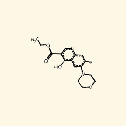 CCOC(=O)c1cnc2cc(F)c(N3CCOCC3)cc2c1O